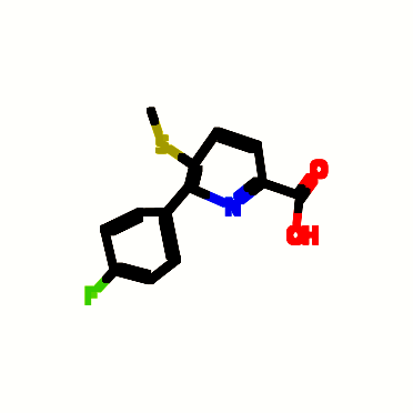 CSc1ccc(C(=O)O)nc1-c1ccc(F)cc1